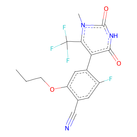 CCCOc1cc(-c2c(C(F)(F)F)n(C)c(=O)[nH]c2=O)c(F)cc1C#N